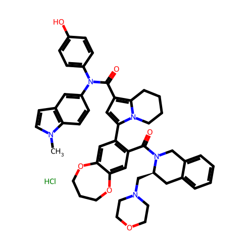 Cl.Cn1ccc2cc(N(C(=O)c3cc(-c4cc5c(cc4C(=O)N4Cc6ccccc6C[C@H]4CN4CCOCC4)OCCCO5)n4c3CCCC4)c3ccc(O)cc3)ccc21